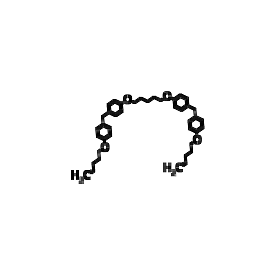 C=CCCCOc1ccc(Cc2ccc(OCCCCCOc3ccc(Cc4ccc(OCCCC=C)cc4)cc3)cc2)cc1